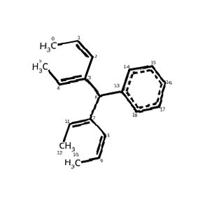 C/C=C\C(=C/C)C(C(/C=C\C)=C/C)c1ccccc1